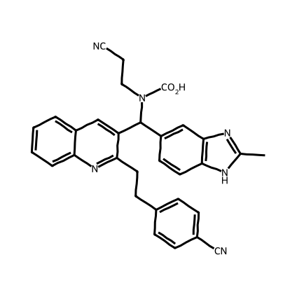 Cc1nc2cc(C(c3cc4ccccc4nc3CCc3ccc(C#N)cc3)N(CCC#N)C(=O)O)ccc2[nH]1